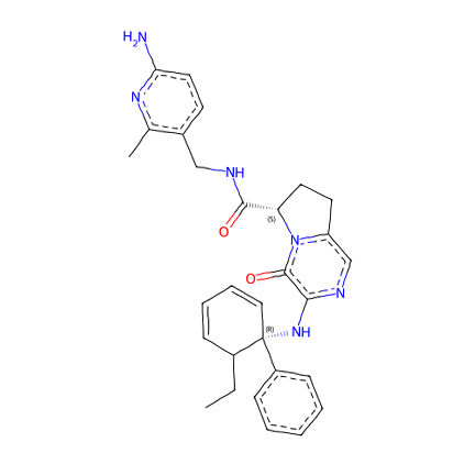 CCC1C=CC=C[C@@]1(Nc1ncc2n(c1=O)[C@H](C(=O)NCc1ccc(N)nc1C)CC2)c1ccccc1